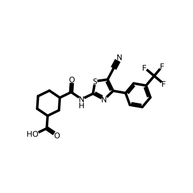 N#Cc1sc(NC(=O)C2CCCC(C(=O)O)C2)nc1-c1cccc(C(F)(F)F)c1